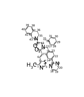 Cc1ncsc1C=CC(=O)N(Cc1ccc(-c2ncccn2)cc1)[C@@H](Cc1ccccc1)C(=O)N1CCc2ccccc2C1